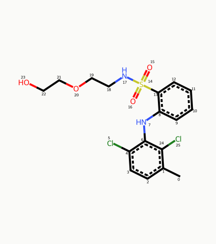 Cc1ccc(Cl)c(Nc2ccccc2S(=O)(=O)NCCOCCO)c1Cl